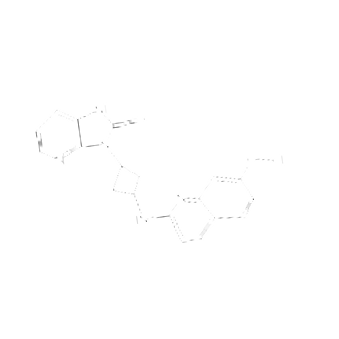 COc1ccc2ccc(NC3CC(n4c(=O)[nH]c5cccnc54)C3)nc2c1